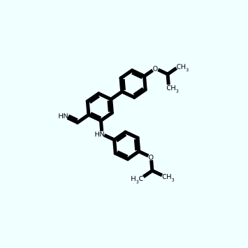 CC(C)Oc1ccc(Nc2cc(-c3ccc(OC(C)C)cc3)ccc2C=N)cc1